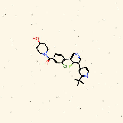 CC(C)(C)c1cc(-c2cncc(-c3ccc(C(=O)N4CCC(O)CC4)cc3Cl)c2F)ccn1